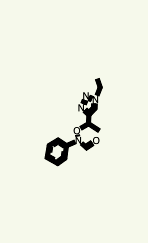 CCn1cc(C(C)ON([C]=O)c2ccccc2)nn1